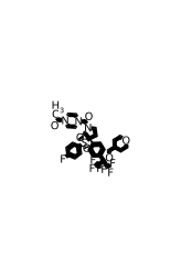 CC(=O)N1CCN(C(=O)N2CC[C@](c3ccc(C(OCC4CCOCC4)(C(F)(F)F)C(F)(F)F)cc3)(S(=O)(=O)c3ccc(F)cc3)C2)CC1